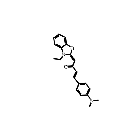 CCN1C(=CC(=O)C=Cc2ccc(N(C)C)cc2)Oc2ccccc21